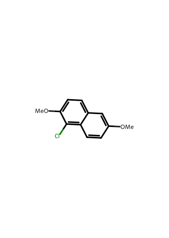 COc1ccc2c(Cl)c(OC)ccc2c1